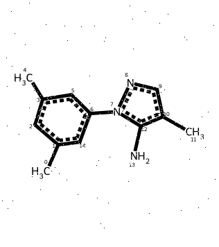 Cc1cc(C)cc(-n2ncc(C)c2N)c1